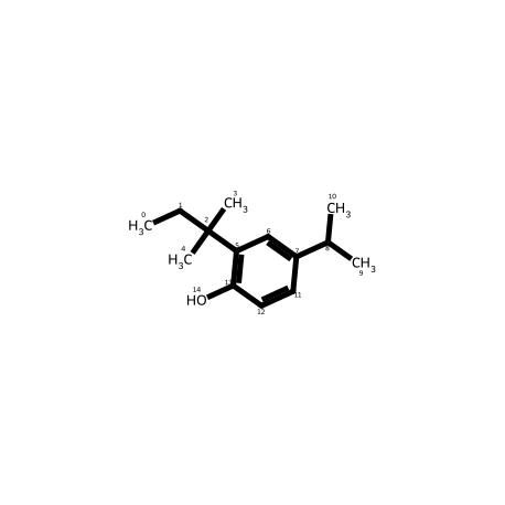 CCC(C)(C)c1cc(C(C)C)ccc1O